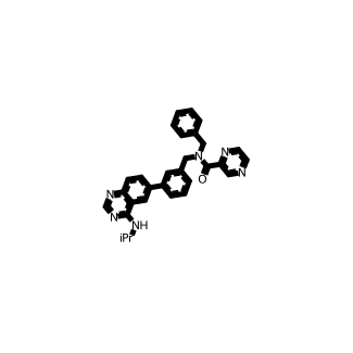 CC(C)Nc1ncnc2ccc(-c3cccc(CN(Cc4ccccc4)C(=O)c4cnccn4)c3)cc12